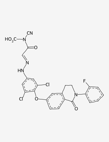 N#CN(C(=O)O)C(=O)C=NNc1cc(Cl)c(Oc2ccc3c(c2)CCN(c2ccccc2F)C3=O)c(Cl)c1